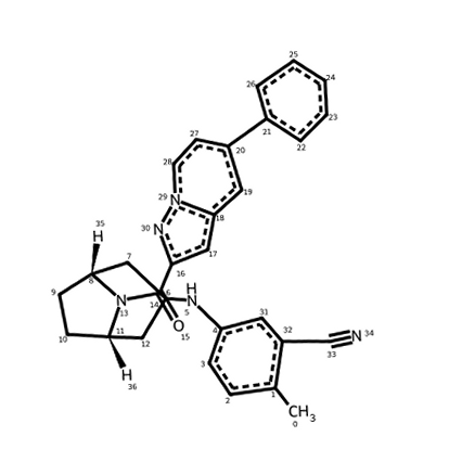 Cc1ccc(NC2C[C@H]3CC[C@@H](C2)N3C(=O)c2cc3cc(-c4ccccc4)ccn3n2)cc1C#N